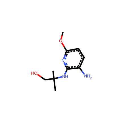 COc1ccc(N)c(NC(C)(C)CO)n1